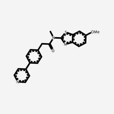 COc1ccc2nc(N(C)C(=O)Cc3ccc(-c4ccncc4)cc3)sc2c1